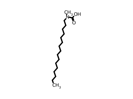 CCCCCCCCCCCCCCCCN(C)C(=O)O